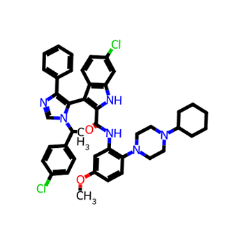 COc1ccc(N2CCN(C3CCCCC3)CC2)c(NC(=O)c2[nH]c3cc(Cl)ccc3c2-c2c(-c3ccccc3)ncn2C(C)c2ccc(Cl)cc2)c1